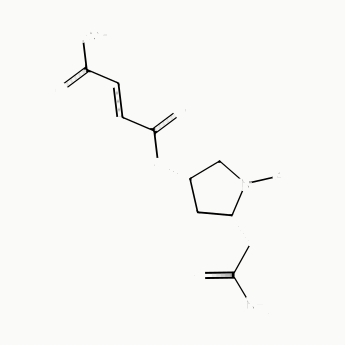 COC(=O)/C=C/C(=O)O[C@H]1C[C@@H](CC(N)=O)N(C(C)=O)C1